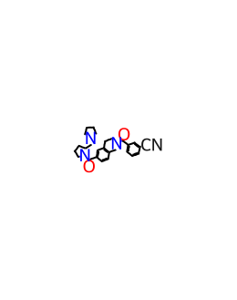 N#Cc1cccc(C(=O)N2CCc3cc(C(=O)N4CCCC4CN4CCCC4)ccc3C2)c1